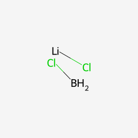 BCl.[Li][Cl]